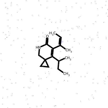 C/C=C(/C)C1=C(C(C)CC)C2(CC2)CNC1=O